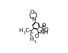 CC(C)c1cc(N2CCOCC2)cc2c1C(=O)NS2(=O)=O